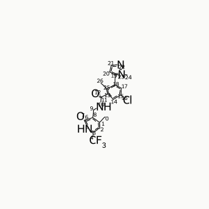 Cc1cc(C(F)(F)F)[nH]c(=O)c1CNC(=O)c1cc(Cl)cc(-c2ccnn2C)c1C